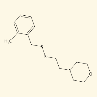 Cc1ccccc1CSSCCN1CCOCC1